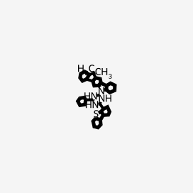 CC1(C)c2ccccc2-c2cc3c(cc21)c1ccccc1n3C1NC(c2ccccc2)NC(c2cccc3c2sc2ccccc23)N1